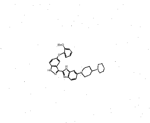 COc1ccccc1Oc1ccc2[nH]nc(-c3nc4ccc(N5CCC(N6CCCCC6)CC5)cc4[nH]3)c2c1